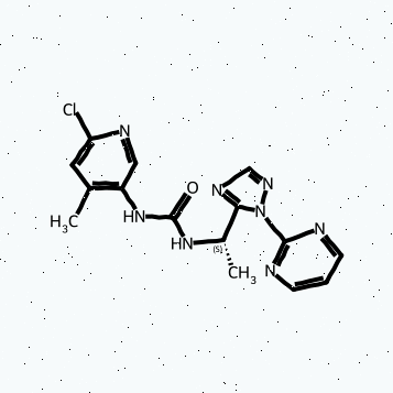 Cc1cc(Cl)ncc1NC(=O)N[C@@H](C)c1ncnn1-c1ncccn1